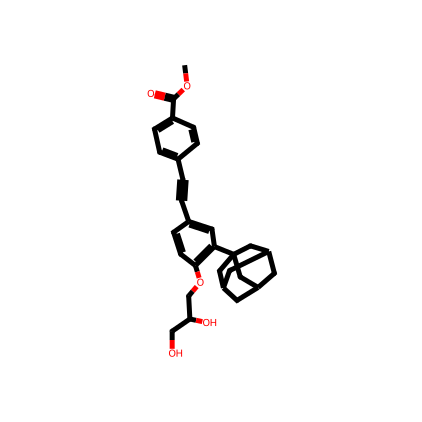 COC(=O)c1ccc(C#Cc2ccc(OCC(O)CO)c(C34CC5CC(CC(C5)C3)C4)c2)cc1